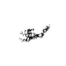 COc1ccc(C#N)cc1-c1cc(C)ncc1C(=O)Nc1nc2ccc(-c3ccc(C(F)(F)F)cc3)nc2s1